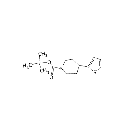 CC(C)(C)OC(=O)N1CCC(c2cccs2)CC1